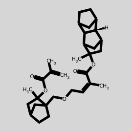 C=C(C)C(=O)OC1(C)CC2CCC1(COC/C=C(/C)C(=O)OC1(C)CC3CC1C1C4CCC(C4)[C@H]31)C2